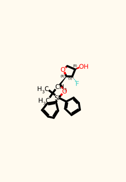 CC(C)(C)[Si](OC[C@H]1OC[C@@H](O)[C@@H]1F)(c1ccccc1)c1ccccc1